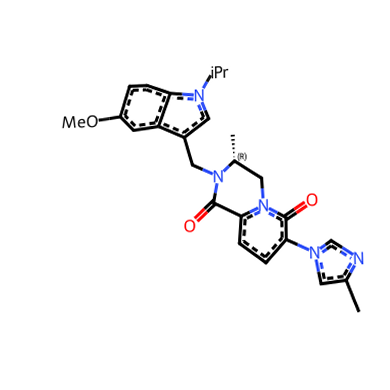 COc1ccc2c(c1)c(CN1C(=O)c3ccc(-n4cnc(C)c4)c(=O)n3C[C@H]1C)cn2C(C)C